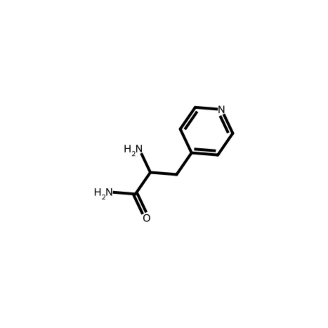 NC(=O)C(N)Cc1ccncc1